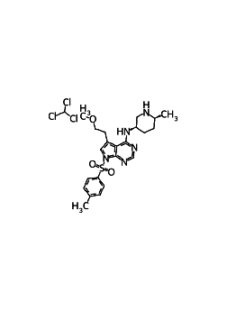 COCCc1cn(S(=O)(=O)c2ccc(C)cc2)c2ncnc(N[C@@H]3CC[C@H](C)NC3)c12.ClC(Cl)Cl